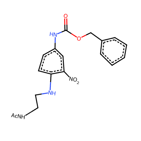 CC(=O)NCCNc1ccc(NC(=O)OCc2ccccc2)cc1[N+](=O)[O-]